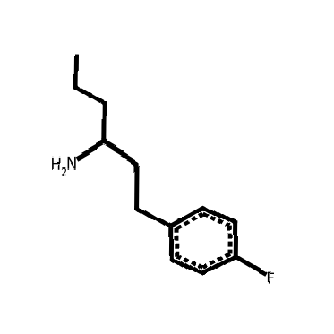 CCCC(N)CCc1ccc(F)cc1